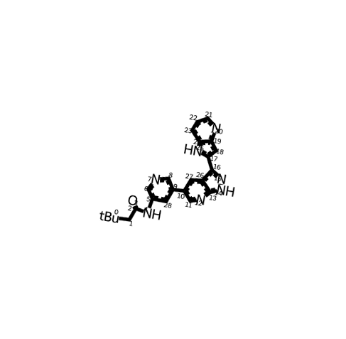 CC(C)(C)CC(=O)Nc1cncc(-c2cnc3[nH]nc(-c4cc5ncccc5[nH]4)c3c2)c1